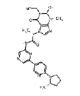 C[C@@H](C(=O)Nc1cncc(-c2cnc(N3CCC[C@@H]3C(F)(F)F)nc2)n1)n1cnc2c1C(=O)N(CC#N)C(O)N2C